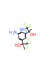 CC(O)(c1cc(N)c(N)c(C(C)(O)C(F)(F)F)c1)C(F)(F)F